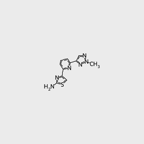 Cn1ncc(-c2cccc(-c3csc(N)n3)n2)n1